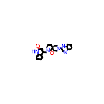 O=C1N(Cc2cc(=O)[nH]c3ccccc23)CCCC12CCN(c1cnc3ccccc3n1)CC2